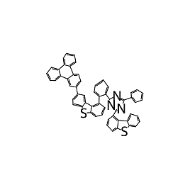 c1ccc(-c2nc(-c3ccccc3-c3cccc4sc5ccc(-c6ccc7c8ccccc8c8ccccc8c7c6)cc5c34)nc(-c3cccc4sc5ccccc5c34)n2)cc1